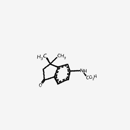 CC1(C)CC(=O)c2ccc(NC(=O)O)cc21